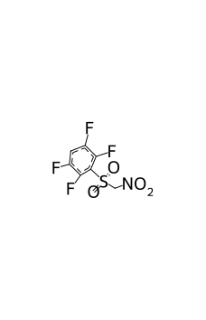 O=[N+]([O-])CS(=O)(=O)c1c(F)c(F)cc(F)c1F